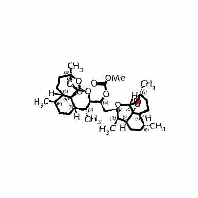 COC(=O)O[C@@H](C[C@H]1O[C@@H]2O[C@]3(C)CC[C@H]4[C@H](C)CC[C@@H]([C@H]1C)[C@@]24OO3)C1O[C@@H]2O[C@]3(C)CC[C@H]4[C@H](C)CC[C@@H]([C@H]1C)[C@@]24OO3